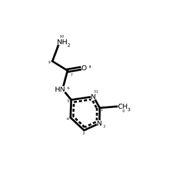 Cc1n[c]cc(NC(=O)CN)n1